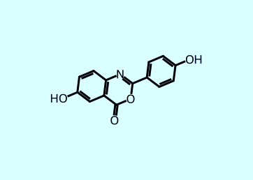 O=c1oc(-c2ccc(O)cc2)nc2ccc(O)cc12